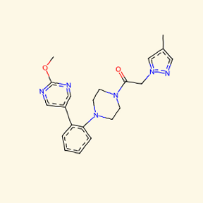 COc1ncc(-c2ccccc2N2CCN(C(=O)Cn3cc(C)cn3)CC2)cn1